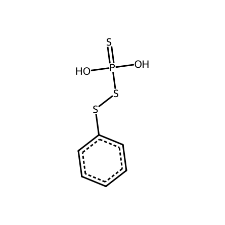 OP(O)(=S)SSc1ccccc1